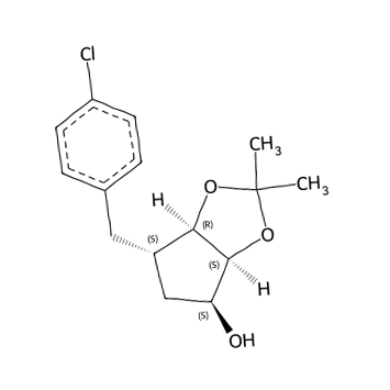 CC1(C)O[C@@H]2[C@@H](Cc3ccc(Cl)cc3)C[C@H](O)[C@@H]2O1